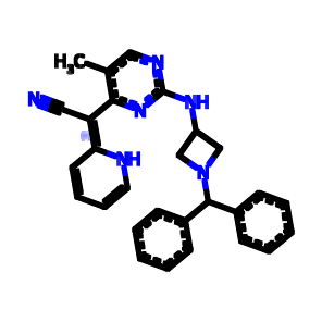 Cc1cnc(NC2CN(C(c3ccccc3)c3ccccc3)C2)nc1/C(C#N)=C1/C=CC=CN1